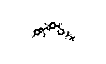 CCn1c(-c2nc3cc(C(=O)N4CCC[C@@H](NC(=O)OC(C)(C)C)C4)ccc3n2C)cc2ccc(Br)cc21